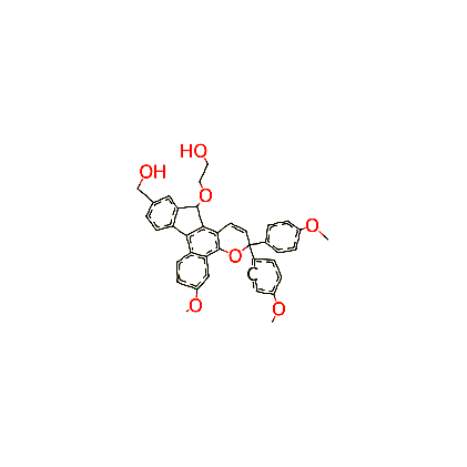 COc1ccc(C2(c3ccc(OC)cc3)C=Cc3c4c(c5ccc(OC)cc5c3O2)-c2ccc(CO)cc2C4OCCO)cc1